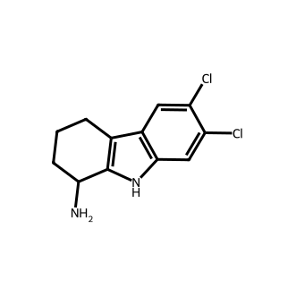 NC1CCCc2c1[nH]c1cc(Cl)c(Cl)cc21